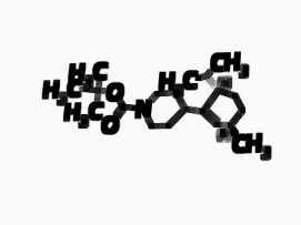 CC(C)[C@@H]1CC[C@@H](C)C=C1C1CCN(C(=O)OC(C)(C)C)CC1